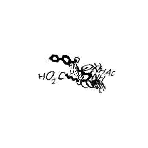 CC(=O)N[C@@H]1[C@@H](NC(=O)CF)[C@H](O)[C@](OCCCCCC(=O)O)(C(=O)O)O[C@H]1[C@H](O)[C@H](O)CNC(=O)c1ccc(-c2ccccc2)cc1